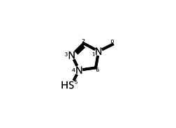 CN1C=NN(S)C1